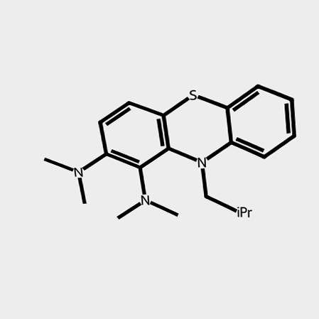 CC(C)CN1c2ccccc2Sc2ccc(N(C)C)c(N(C)C)c21